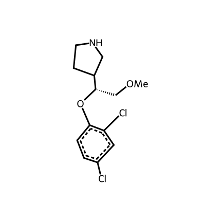 COC[C@H](Oc1ccc(Cl)cc1Cl)C1CCNC1